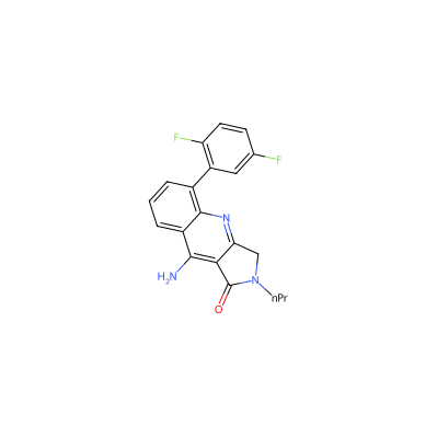 CCCN1Cc2nc3c(-c4cc(F)ccc4F)cccc3c(N)c2C1=O